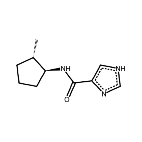 C[C@H]1CCC[C@@H]1NC(=O)c1c[nH]cn1